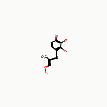 CCO/C=C(/Cc1ccc(Br)c(Br)c1Br)C(=O)O